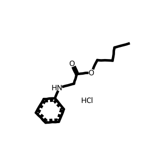 CCCCOC(=O)CNc1ccccc1.Cl